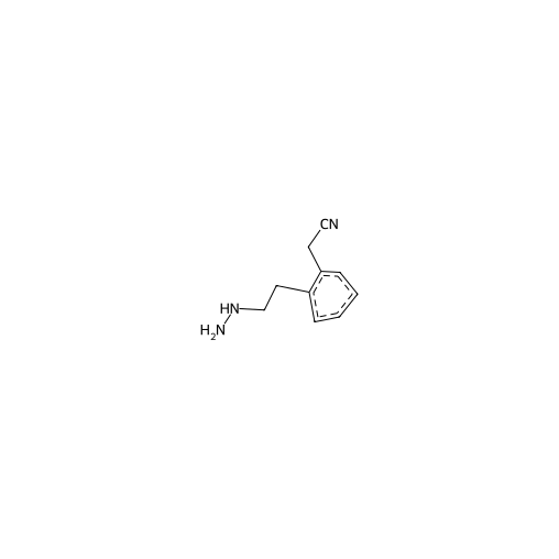 N#CCc1ccccc1CCNN